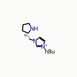 CCCC[n+]1ccn(C[C@@H]2CCCN2)c1